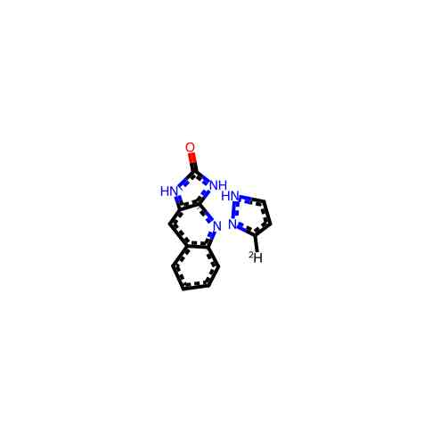 O=c1[nH]c2cc3ccccc3nc2[nH]1.[2H]c1cc[nH]n1